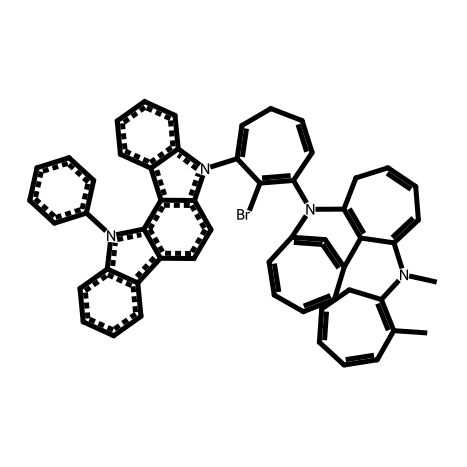 CC1=C(N(C)C2=CC=CCC3=C2C2=C=C(C=CC=C2)N3C2=C(Br)C(n3c4ccccc4c4c3ccc3c5ccccc5n(-c5ccccc5)c34)=CCC=C2)CC=CC=C1